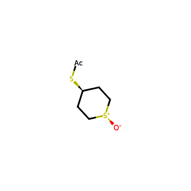 CC(=O)S[C@H]1CC[S@@+]([O-])CC1